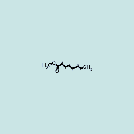 [CH2]OC(=O)CCCCCCC